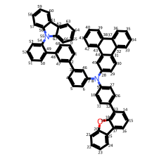 c1cc(-c2cccc(N(c3ccc(-c4cccc5c4oc4ccccc45)cc3)c3ccc4c5ccccc5c5ccccc5c4c3)c2)cc(-c2ccccc2-n2c3ccccc3c3ccccc32)c1